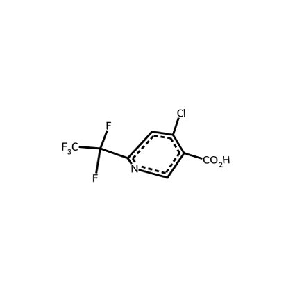 O=C(O)c1cnc(C(F)(F)C(F)(F)F)cc1Cl